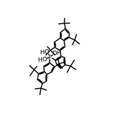 CC(C)(C)c1ccc(P(O)(O)(O)c2cc3c(C(C)(C)C)cc(C(C)(C)C)cc3cc2C(C)(C)C)c(-c2cc3c(C(C)(C)C)cc(C(C)(C)C)cc3cc2C(C)(C)C)c1